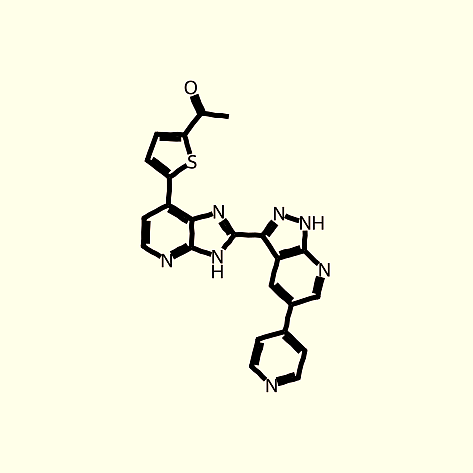 CC(=O)c1ccc(-c2ccnc3[nH]c(-c4n[nH]c5ncc(-c6ccncc6)cc45)nc23)s1